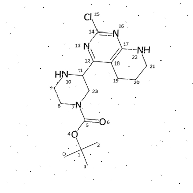 CC(C)(C)OC(=O)N1CCNC(c2nc(Cl)nc3c2CCCN3)C1